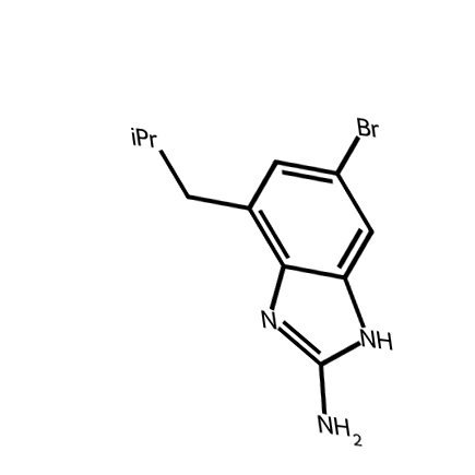 CC(C)Cc1cc(Br)cc2[nH]c(N)nc12